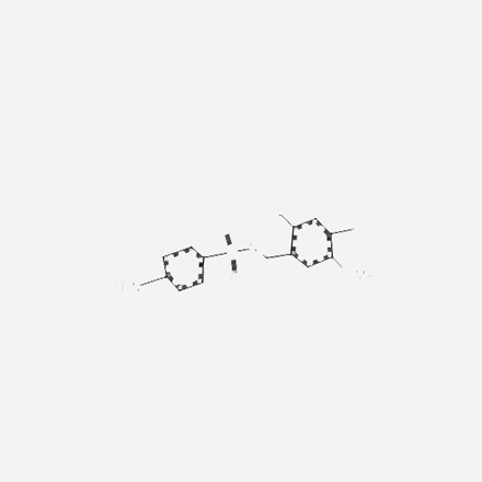 COc1cc(CNS(=O)(=O)c2ccc(N)cc2)c(Cl)cc1O